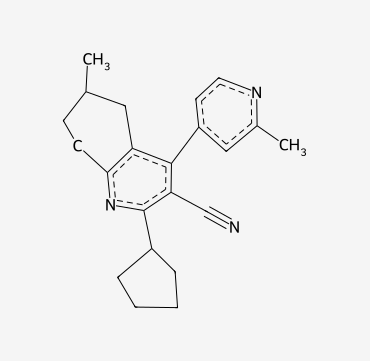 Cc1cc(-c2c(C#N)c(C3CCCC3)nc3c2CC(C)CC3)ccn1